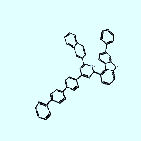 c1ccc(-c2ccc(-c3ccc(C4=NC(c5cccc6oc7cc(-c8ccccc8)ccc7c56)NC(c5ccc6ccccc6c5)=N4)cc3)cc2)cc1